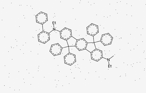 CCN(C)c1ccc2c(c1)C(c1ccccc1)(c1ccccc1)c1cc3c(cc1-2)C(c1ccccc1)(c1ccccc1)c1cc(N(CC)c2ccccc2-c2ccccc2)ccc1-3